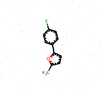 Fc1ccc(-c2ccc(C(F)(F)F)o2)cc1